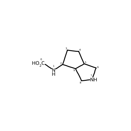 O=C(O)NC1CCC2CNCC21